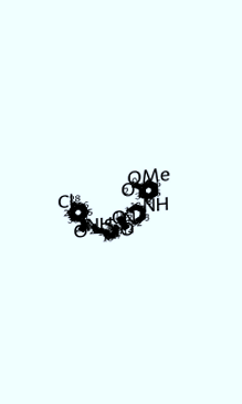 COC(=O)c1cccc(NC2CCN(S(=O)(=O)c3ccc(CNC(=O)c4ccc(Cl)cc4)s3)CC2)c1